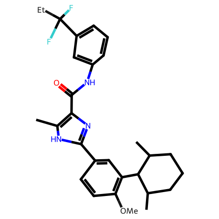 CCC(F)(F)c1cccc(NC(=O)c2nc(-c3ccc(OC)c(C4C(C)CCCC4C)c3)[nH]c2C)c1